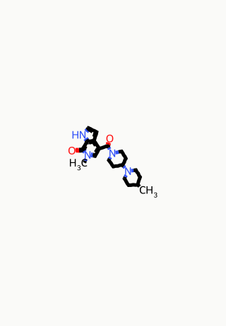 CC1CCN(C2CCN(C(=O)c3cn(C)c(=O)c4[nH]ccc34)CC2)CC1